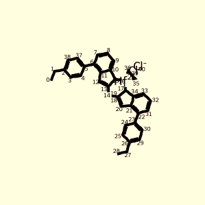 CCc1ccc(-c2cccc3c2C=C(C)[CH]3[Hf+2]2([CH]3C(C)=Cc4c(-c5ccc(CC)cc5)cccc43)[CH2][CH2]2)cc1.[Cl-].[Cl-]